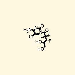 Nc1nc(=O)n(C(=O)C(F)(F)[C@H](F)[C@H](O)CO)cc1Cl